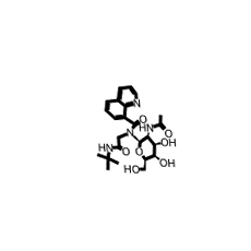 CC(=O)N[C@@H]1[C@@H](O)[C@@H](O)[C@@H](CO)O[C@H]1N(CC(=O)NC(C)(C)C)C(=O)c1cccc2cccnc12